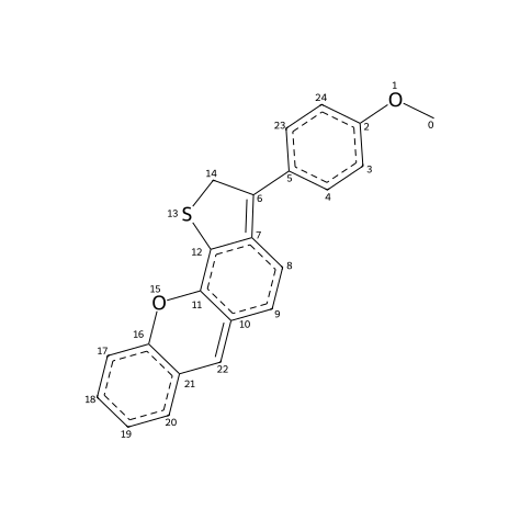 COc1ccc(C2=c3ccc4c(c3SC2)Oc2ccccc2C=4)cc1